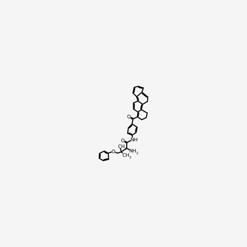 CC(C)(COc1ccccc1)C(N)C(=O)Nc1ccc(C(=O)C2=c3ccc4c(c3CCC2)CC=c2ccccc2=4)cc1